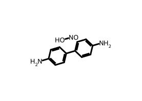 Nc1ccc(-c2ccc(N)cc2)cc1.O=NO